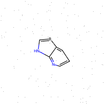 b1c[nH]c2ncccc12